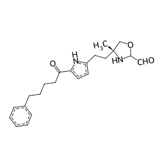 C[C@@]1(CCc2ccc(C(=O)CCCCc3ccccc3)[nH]2)COC(C=O)N1